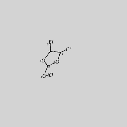 CCC1OC(C=O)OC1F